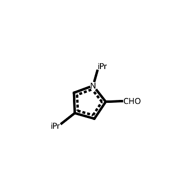 CC(C)c1cc(C=O)n(C(C)C)c1